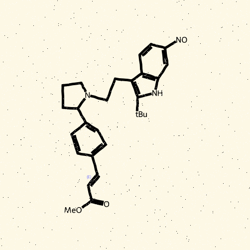 COC(=O)/C=C/c1ccc(C2CCCN2CCc2c(C(C)(C)C)[nH]c3cc(N=O)ccc23)cc1